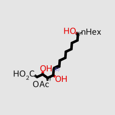 CCCCCC[C@@H](O)CCCCCC/C=C/C(O)[C@@H](OC(C)=O)C(O)CC(=O)O